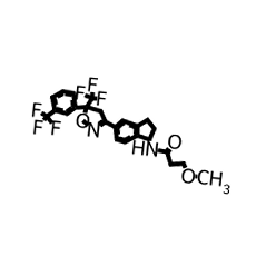 COCCC(=O)NC1CCc2cc(C3=NOC(c4cccc(C(F)(F)F)c4)(C(F)(F)F)C3)ccc21